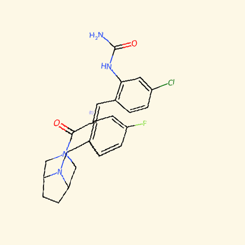 NC(=O)Nc1cc(Cl)ccc1/C=C/C(=O)N1CC2CCC(C1)N2Cc1ccc(F)cc1